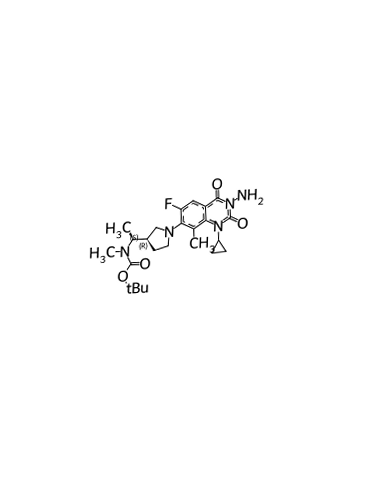 Cc1c(N2CC[C@@H]([C@H](C)N(C)C(=O)OC(C)(C)C)C2)c(F)cc2c(=O)n(N)c(=O)n(C3CC3)c12